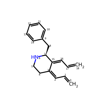 C=C/C=C1/CCN[C@@H](Cc2ccccc2)/C1=C/C=C